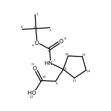 CC(C)(C)OC(=O)NC1(CC(=O)O)CCCC1